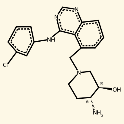 N[C@@H]1CCN(Cc2cccc3ncnc(Nc4cccc(Cl)c4)c23)C[C@H]1O